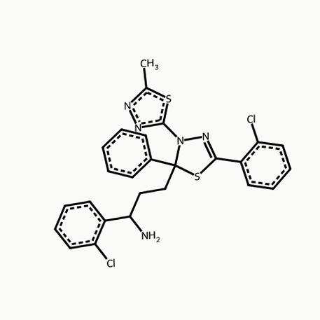 Cc1nnc(N2N=C(c3ccccc3Cl)SC2(CCC(N)c2ccccc2Cl)c2ccccc2)s1